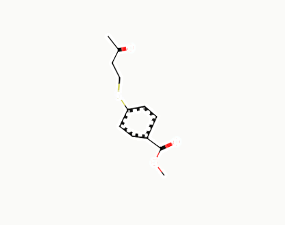 COC(=O)c1ccc(SCCC(C)=O)cc1